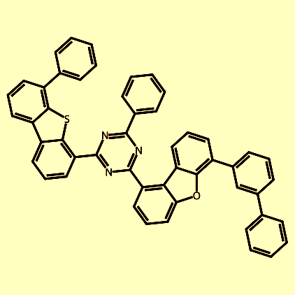 c1ccc(-c2cccc(-c3cccc4c3oc3cccc(-c5nc(-c6ccccc6)nc(-c6cccc7c6sc6c(-c8ccccc8)cccc67)n5)c34)c2)cc1